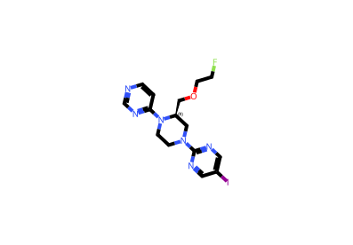 FCCOC[C@H]1CN(c2ncc(I)cn2)CCN1c1ccncn1